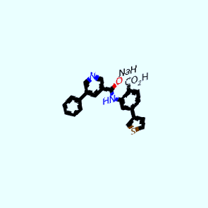 O=C(Nc1cc(-c2ccsc2)ccc1C(=O)O)c1cncc(-c2ccccc2)c1.[NaH]